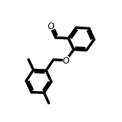 Cc1ccc(C)c(COc2ccccc2C=O)c1